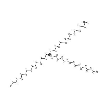 CCCCCCCCCCCCCCCC[As](CCCCCCCCCCCCCCCC)CCCCCCCCCCCCCCCC